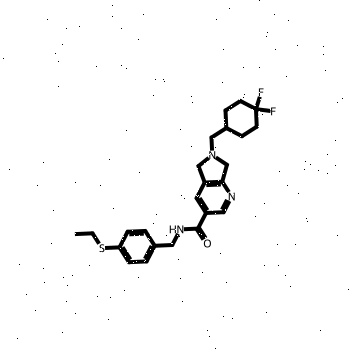 CCSc1ccc(CNC(=O)c2cnc3c(c2)CN(CC2CCC(F)(F)CC2)C3)cc1